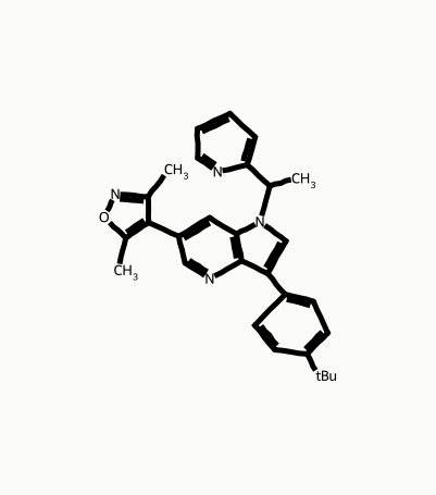 Cc1noc(C)c1-c1cnc2c(-c3ccc(C(C)(C)C)cc3)cn(C(C)c3ccccn3)c2c1